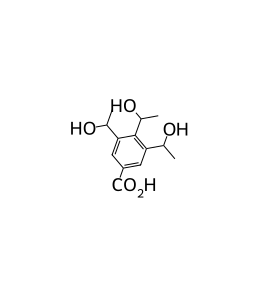 CC(O)c1cc(C(=O)O)cc(C(C)O)c1C(C)O